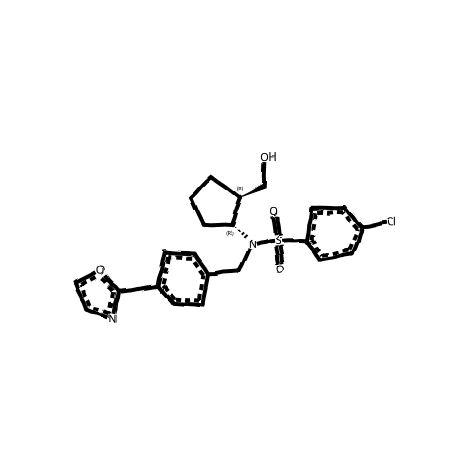 O=S(=O)(c1ccc(Cl)cc1)N(Cc1ccc(-c2ncco2)cc1)[C@@H]1CCC[C@H]1CO